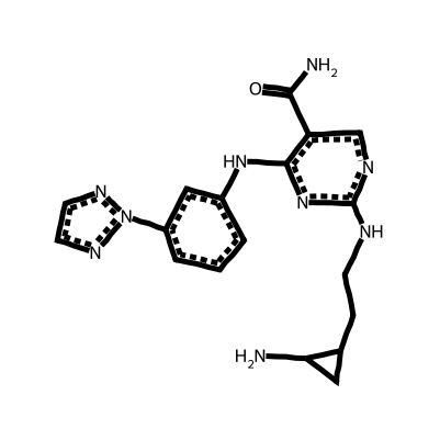 NC(=O)c1cnc(NCCC2CC2N)nc1Nc1cccc(-n2nccn2)c1